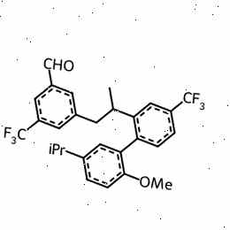 COc1ccc(C(C)C)cc1-c1ccc(C(F)(F)F)cc1C(C)Cc1cc(C=O)cc(C(F)(F)F)c1